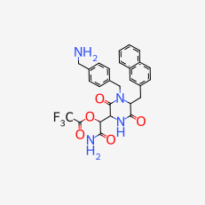 NCc1ccc(CN2C(=O)C(C(OC(=O)C(F)(F)F)C(N)=O)NC(=O)C2Cc2ccc3ccccc3c2)cc1